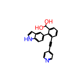 OC(O)c1cccc(C#Cc2ccncc2)c1-c1ccc2[nH]ccc2c1